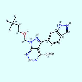 COc1ncnc2c1c(-c1ccc3cn[nH]c3c1)nn2COCC[Si](C)(C)C